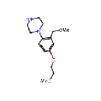 COCCOc1ccc(N2CCNCC2)c(COC)c1